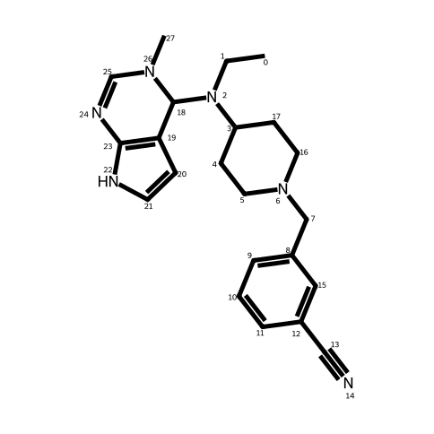 CCN(C1CCN(Cc2cccc(C#N)c2)CC1)C1c2cc[nH]c2N=CN1C